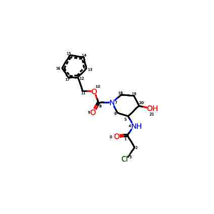 O=C(CCl)NC1CN(C(=O)OCc2ccccc2)CCC1O